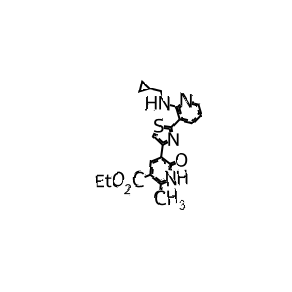 CCOC(=O)c1cc(-c2csc(-c3cccnc3NCC3CC3)n2)c(=O)[nH]c1C